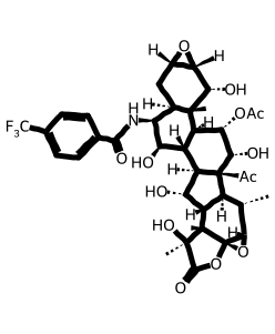 CC(=O)O[C@H]1[C@H]2[C@@H]([C@@H](O)[C@@H](NC(=O)c3ccc(C(F)(F)F)cc3)[C@H]3C[C@@H]4O[C@@H]4[C@H](O)[C@]23C)[C@@H]2[C@@H](O)[C@@H]3[C@H]([C@H](C)[C@H]4O[C@]45OC(=O)[C@@](C)(O)[C@]35C)[C@@]2(C(C)=O)[C@H]1O